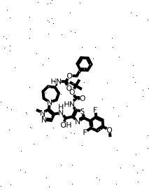 COc1cc(F)c(-c2nc(C(O)Nc3cnn(C)c3N3CCC[C@@H](NC(=O)OCc4ccccc4)CC3)c(NC(=O)OC(C)(C)C)s2)c(F)c1